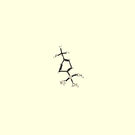 CS(C)(C)c1ccc(C(F)(F)F)cc1